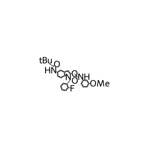 COc1cccc(NC(=O)Oc2cc3cc(NC(=O)CC(C)(C)C)ccc3n2Cc2ccccc2F)c1